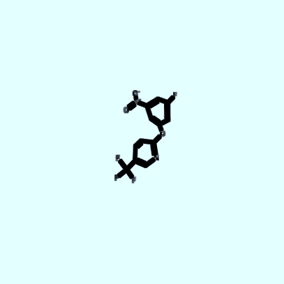 O=[N+]([O-])c1cc(F)cc(Oc2ccc(C(F)(F)F)cn2)c1